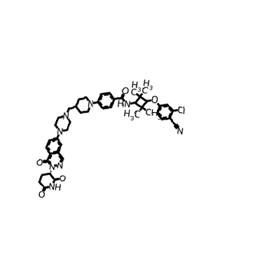 CC1(C)C(NC(=O)c2ccc(N3CCC(CN4CCN(c5ccc6c(=O)n([C@H]7CCC(=O)NC7=O)ncc6c5)CC4)CC3)cc2)C(C)(C)C1Oc1ccc(C#N)c(Cl)c1